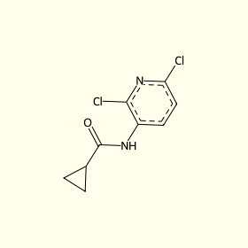 O=C(Nc1ccc(Cl)nc1Cl)C1CC1